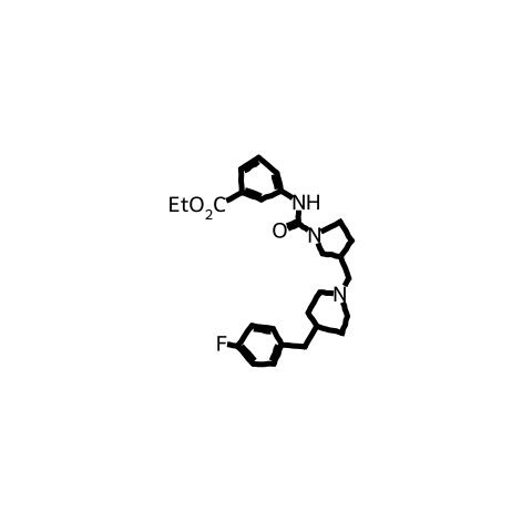 CCOC(=O)c1cccc(NC(=O)N2CCC(CN3CCC(Cc4ccc(F)cc4)CC3)C2)c1